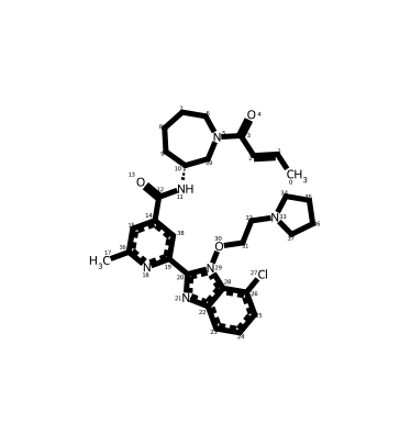 CC=CC(=O)N1CCCC[C@@H](NC(=O)c2cc(C)nc(-c3nc4cccc(Cl)c4n3OCCN3CCCC3)c2)C1